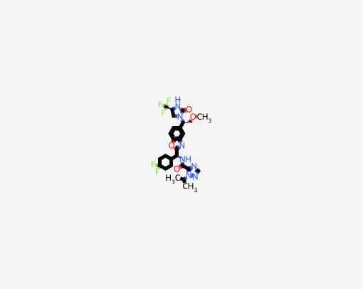 COC[C@H](c1ccc2oc([C@@H](NC(=O)c3ncnn3C(C)C)C3CCC(F)(F)CC3)nc2c1)N1C[C@@H](C(F)(F)F)NC1=O